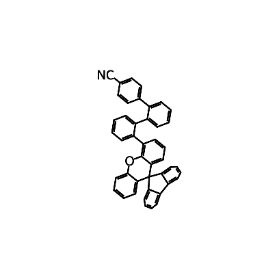 N#Cc1ccc(-c2ccccc2-c2ccccc2-c2cccc3c2Oc2ccccc2C32c3ccccc3-c3ccccc32)cc1